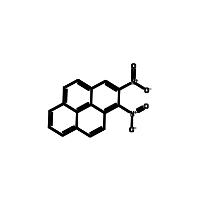 O=[N+]([O-])c1cc2ccc3cccc4ccc(c1[N+](=O)[O-])c2c34